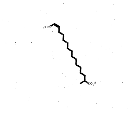 CCCCCCCC/C=C\CCCCCCCCCCCCC(C)C(=O)O